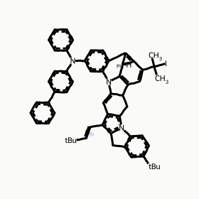 CC(C)(C)/C=C/c1c2c(n3c1Cc1cc(C(C)(C)C)ccc1-3)CC1C(=C2)N2C3=C1C=C(C(C)(C)I)C1=C(c4ccc(N(c5ccccc5)c5ccc(-c6ccccc6)cc5)cc42)[C@H]13